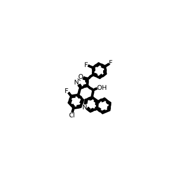 OC(c1c(-c2ccc(Cl)cc2F)noc1-c1ccc(F)cc1F)c1cncc2ccccc12